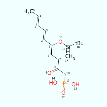 C/C=C/C=C/[C@H](CCC(=O)CP(=O)(O)O)O[SiH](C)C(C)(C)C